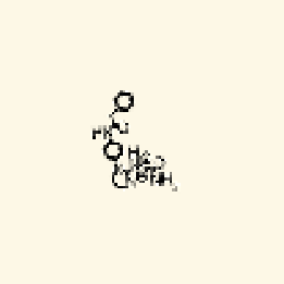 NC(=O)S(=O)(=O)NC1=NCCCN1c1ccc(NC(=O)[CH]c2ccccc2)cc1